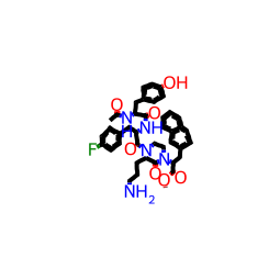 COC(=O)C(Cc1ccc2ccccc2c1)N1CCN(C(=O)C(Cc2ccc(F)cc2)NC(=O)C(Cc2ccc(O)cc2)NC(C)=O)C(CCCN)C1=O